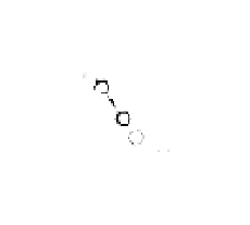 CCCCCC[C@H]1CC[C@H](c2ccc(C#Cc3ccc(CCC)cn3)cc2)CC1